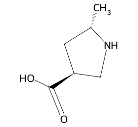 C[C@H]1C[C@H](C(=O)O)CN1